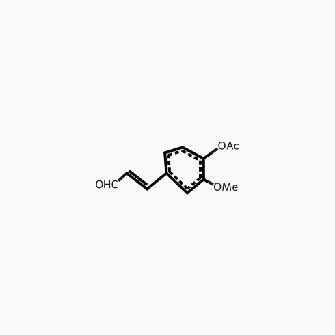 COc1cc(/C=C/C=O)ccc1OC(C)=O